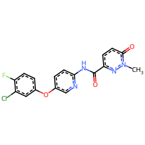 Cn1nc(C(=O)Nc2ccc(Oc3ccc(F)c(Cl)c3)cn2)ccc1=O